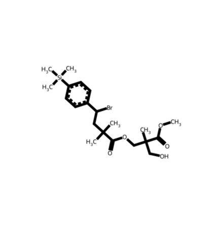 COC(=O)C(C)(CO)COC(=O)C(C)(C)CC(Br)c1ccc([Si](C)(C)C)cc1